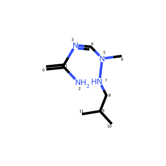 C=C(N)/N=C\N(C)NCC(C)C